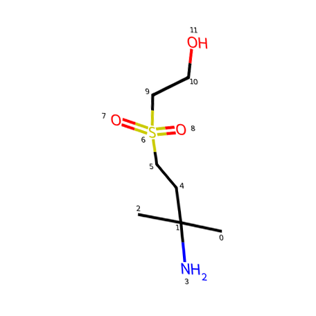 CC(C)(N)CCS(=O)(=O)CCO